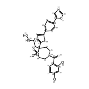 O=C(CC1(c2ccc(-c3ccc(-c4cnco4)cc3)s2)CCN(C(=O)c2ccc(Cl)cc2Cl)CCS1(=O)=O)NO